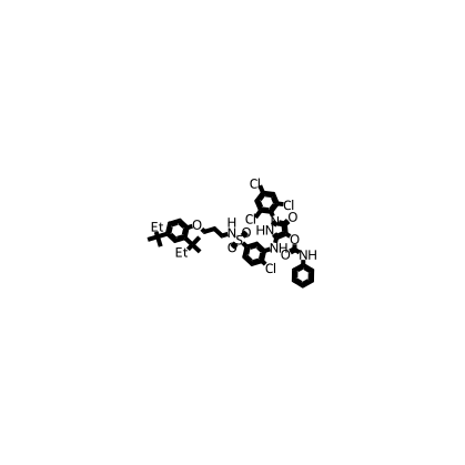 CCC(C)(C)c1ccc(OCCCNS(=O)(=O)c2ccc(Cl)c(Nc3[nH]n(-c4c(Cl)cc(Cl)cc4Cl)c(=O)c3OC(=O)Nc3ccccc3)c2)c(C(C)(C)CC)c1